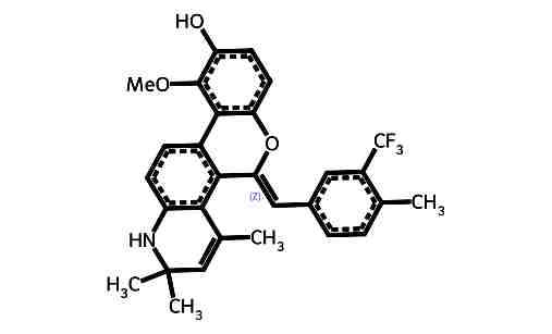 COc1c(O)ccc2c1-c1ccc3c(c1/C(=C/c1ccc(C)c(C(F)(F)F)c1)O2)C(C)=CC(C)(C)N3